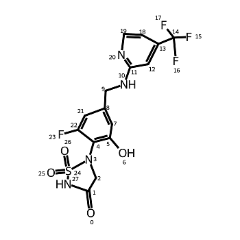 O=C1CN(c2c(O)cc(CNc3cc(C(F)(F)F)ccn3)cc2F)S(=O)(=O)N1